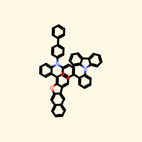 c1ccc(-c2ccc(N(c3ccc(-c4ccccc4-n4c5ccccc5c5ccccc54)cc3)c3ccccc3-c3cccc4c3oc3cc5ccccc5cc34)cc2)cc1